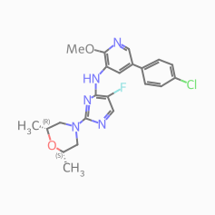 COc1ncc(-c2ccc(Cl)cc2)cc1Nc1nc(N2C[C@@H](C)O[C@@H](C)C2)ncc1F